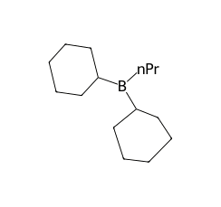 CCCB(C1CCCCC1)C1CCCCC1